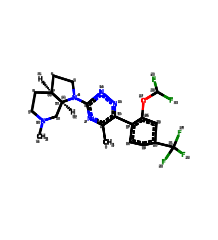 Cc1nc(N2CC[C@@H]3CCN(C)C[C@@H]32)nnc1-c1ccc(C(F)(F)F)cc1OC(F)F